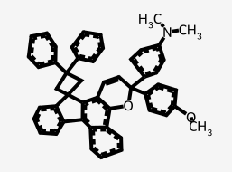 COc1ccc(C2(c3ccc(N(C)C)cc3)C=Cc3c4c(c5ccccc5c3O2)-c2ccccc2C42CC(c3ccccc3)(c3ccccc3)C2)cc1